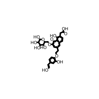 O=C(O)Cc1ccc2cc(CCOc3ccc(/C=C/O)cc3O)cc(OCC3OC(O)C(O)C(O)C3O)c(=O)c2c1O